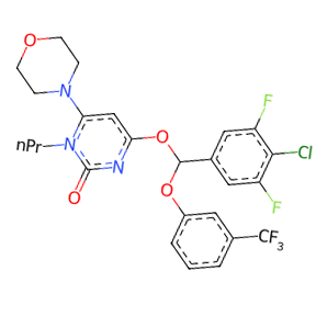 CCCn1c(N2CCOCC2)cc(OC(Oc2cccc(C(F)(F)F)c2)c2cc(F)c(Cl)c(F)c2)nc1=O